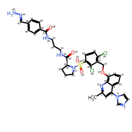 Cc1cc(-n2ccnc2)c2cccc(OCc3c(Cl)ccc(S(=O)(=O)N4CCC[C@H]4C(=O)NCCCNC(=O)c4ccc(C=NN)cc4)c3Cl)c2n1